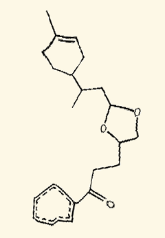 CC1=CCC(C(C)CC2OCC(CCC(=O)c3ccccc3)O2)CC1